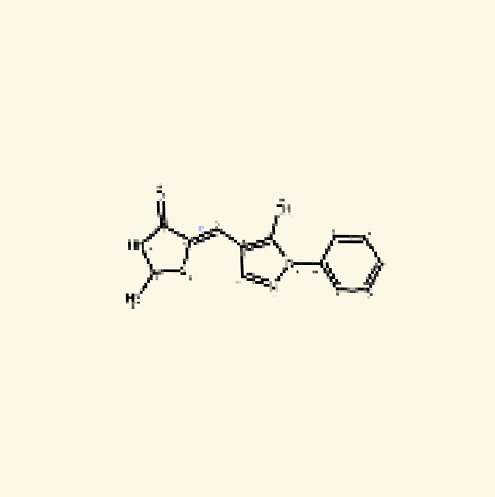 Cc1c(/C=C2\SC(S)NC2=O)cnn1-c1ccccc1